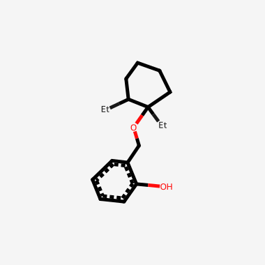 CCC1CCCCC1(CC)OCc1ccccc1O